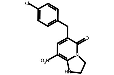 O=c1c(Cc2ccc(Cl)cc2)cc([N+](=O)[O-])c2n1CCN2